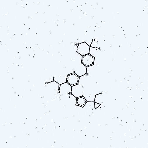 CC(C)NC(=O)c1cnc(Nc2ccc3c(c2)CNCC3(C)C)nc1Nc1nc(C2(CF)CC2)cs1